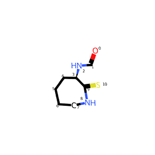 O=CN[C@@H]1CCCCNC1=S